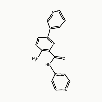 Nc1ncc(-c2cccnc2)nc1C(=O)Nc1ccncc1